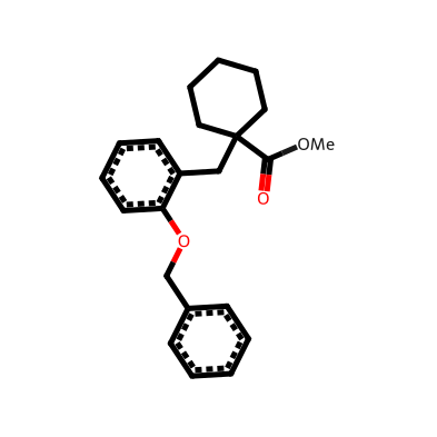 COC(=O)C1(Cc2ccccc2OCc2ccccc2)CCCCC1